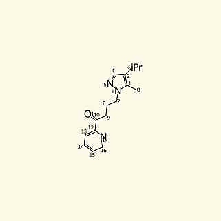 Cc1c(C(C)C)cnn1CCCC(=O)c1ccccn1